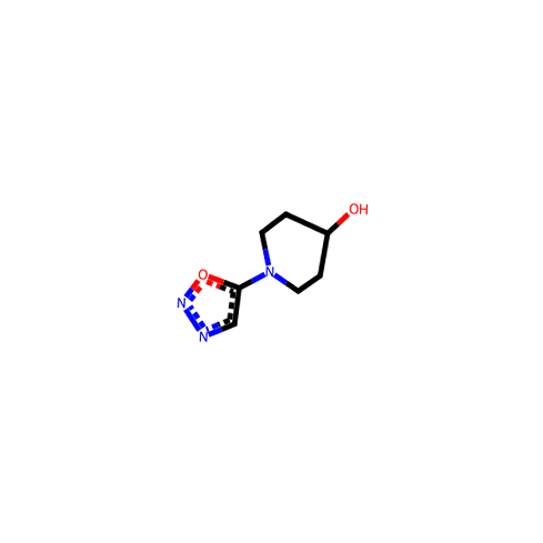 OC1CCN(c2cnno2)CC1